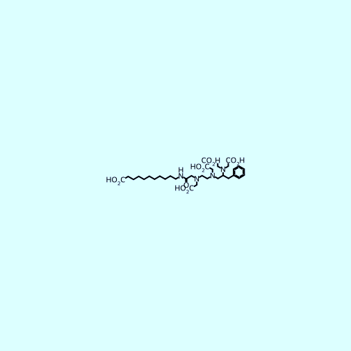 O=C(O)CCCCCCCCCCNC(=O)CN(CCN(CC(=O)O)CC(Cc1ccccc1)N(CC(=O)O)CC(=O)O)CC(=O)O